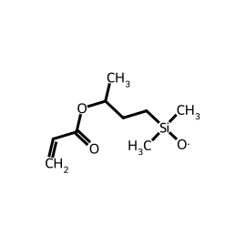 C=CC(=O)OC(C)CC[Si](C)(C)[O]